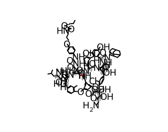 CCCS(=O)(=O)NCCCOc1ccc(NC(=O)NC(=O)C[C@@H]2NC(=O)[C@H](NC(=O)[C@@H](CC(C)C)NC)[C@H](O)c3ccc(c(C)c3)Oc3cc4cc(c3O[C@@H]3O[C@H](CN)[C@@H](O)[C@H](O)[C@H]3O)Oc3ccc(cc3Cl)[C@@H](O)[C@@H]3NC(=O)[C@H](NC(=O)[C@@H]4NC2=O)c2ccc(O)c(c2)-c2c(C)cc(O)cc2[C@@H](C(=O)NC2C4CC5CC(C4)CC2C5)NC3=O)cc1